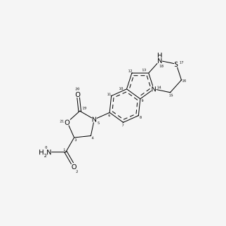 NC(=O)C1CN(c2ccc3c(c2)cc2n3CCSN2)C(=O)O1